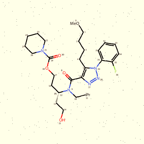 COCCCCc1c(C(=O)N(CC(C)C)[C@H](CCO)CCOC(=O)N2CCCCC2)nnn1-c1ccccc1F